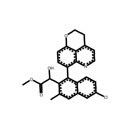 COC(=O)C(O)c1c(C)cc2cc(Cl)ccc2c1-c1ccc2c3c(ccnc13)CCO2